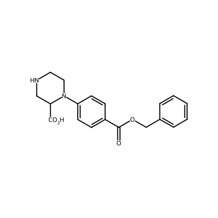 O=C(OCc1ccccc1)c1ccc(N2CCNCC2C(=O)O)cc1